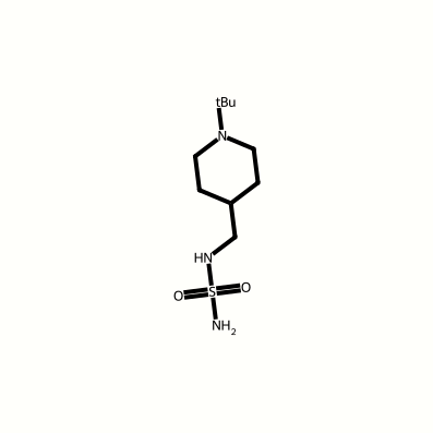 CC(C)(C)N1CCC(CNS(N)(=O)=O)CC1